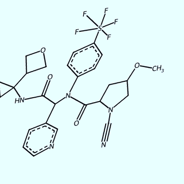 COC1CC(C(=O)N(c2ccc(S(F)(F)(F)(F)F)cc2)C(C(=O)NC2(C3COC3)CC2)c2cccnc2)N(C#N)C1